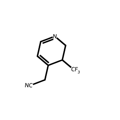 N#CCC1=CC=NCC1C(F)(F)F